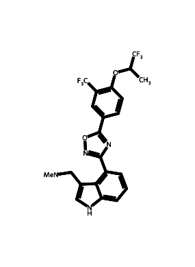 CNCc1c[nH]c2cccc(-c3noc(-c4ccc(OC(C)C(F)(F)F)c(C(F)(F)F)c4)n3)c12